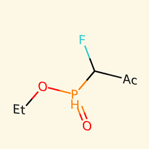 CCO[PH](=O)C(F)C(C)=O